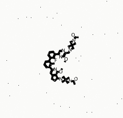 COc1nc(-c2cccc(-c3cccc(-c4cc5c(c(OC)n4)C(N4CC6(CN(C(C)=O)C6)C4)CC5)c3C)c2F)cnc1CN1CC2(C1)CN(C(C)=O)C2